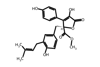 COC(=O)[C@]1(Cc2ccc(O)c(CC=C(C)C)c2)OC(=O)C(O)=C1c1ccc(O)cc1